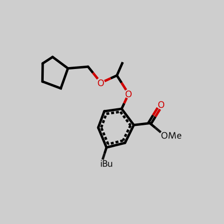 CCC(C)c1ccc(OC(C)OCC2CCCC2)c(C(=O)OC)c1